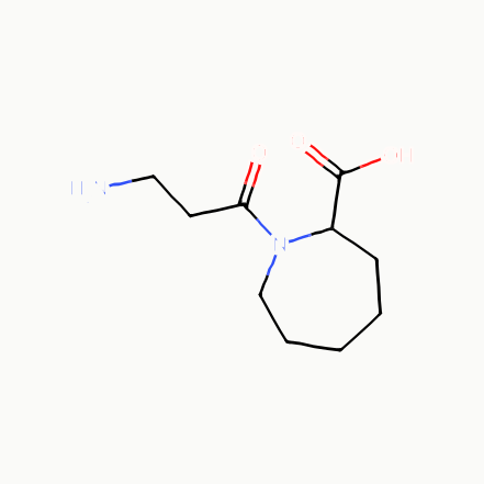 NCCC(=O)N1CCCCCC1C(=O)O